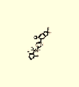 O=C(Nc1cnc(-c2cc3c(cc2Cl)CC(F)(F)C3)cn1)c1c(F)cccc1F